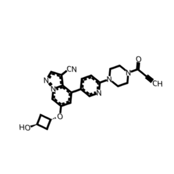 C#CC(=O)N1CCN(c2ccc(-c3cc(O[C@H]4C[C@H](O)C4)cn4ncc(C#N)c34)cn2)CC1